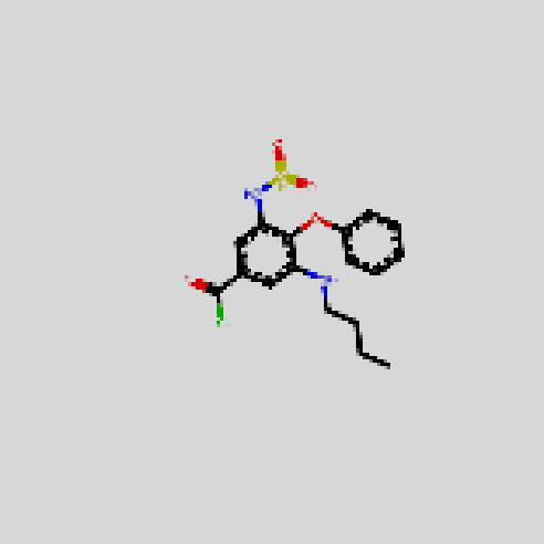 CCCCNc1cc(C(=O)Cl)cc(N[SH](=O)=O)c1Oc1ccccc1